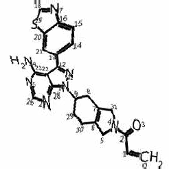 C=CC(=O)N1CC2=C(CC(n3nc(-c4ccc5ncsc5c4)c4c(N)ncnc43)CC2)C1